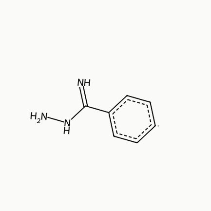 N=C(NN)c1cc[c]cc1